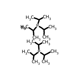 CC(C)P(C(C)C)C(C)C.CC(C)P(C(C)C)C(C)C.[Ru]